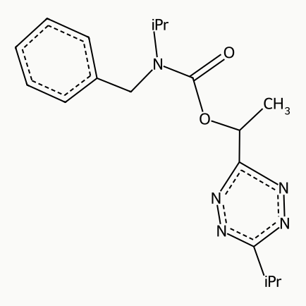 CC(C)c1nnc(C(C)OC(=O)N(Cc2ccccc2)C(C)C)nn1